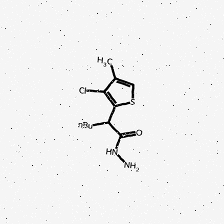 CCCCC(C(=O)NN)c1scc(C)c1Cl